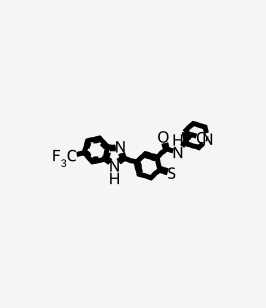 O=C(NC1CN2CCC1CC2)C1=CC(c2nc3ccc(C(F)(F)F)cc3[nH]2)=CCC1=S